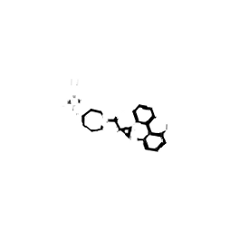 C[C@]1(C(=O)N2CCC[C@H](NS(C)(=O)=O)CC2)C[C@@H]1c1ccccc1-c1c(F)cccc1F